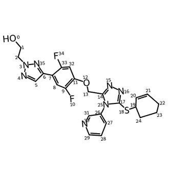 OCCn1ncc(-c2cc(F)c(OCc3nnc(SC4C=CCCC4)n3-c3cccnc3)cc2F)n1